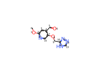 COc1cc(C=O)c(OCc2nnc[nH]2)cn1